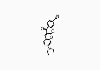 CCN(CC)c1ccc2cc(C(=O)c3ccc(C#N)cc3)c(=O)oc2c1